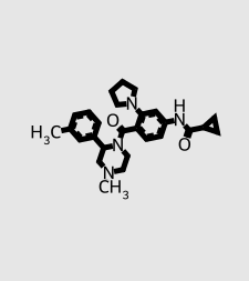 Cc1cccc(C2CN(C)CCN2C(=O)c2ccc(NC(=O)C3CC3)cc2N2CCCC2)c1